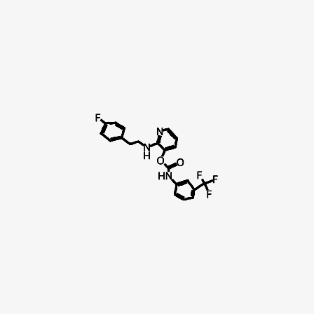 O=C(Nc1cccc(C(F)(F)F)c1)Oc1cccnc1NCCc1ccc(F)cc1